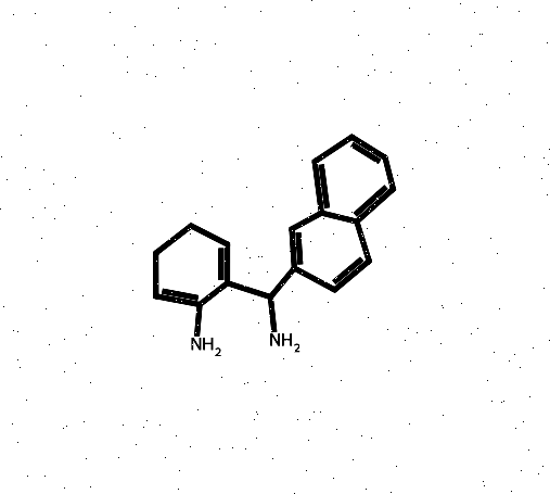 NC1=CCCC=C1C(N)c1ccc2ccccc2c1